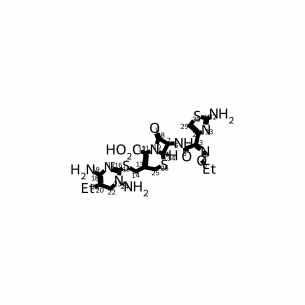 CCO/N=C(\C(=O)NC1C(=O)N2C(C(=O)O)=C(CSC3=NC(N)=C(CC)CN3N)CS[C@@H]12)c1csc(N)n1